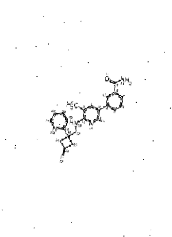 Cc1cc(-c2cccc(C(N)=O)c2)nnc1NCC1(c2ccccn2)CC(F)C1